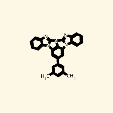 Cc1cc(C)cc(-c2cc3c4c(c2)n2c5ccccc5nc2n4c2nc4ccccc4n32)c1